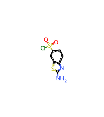 Nc1nc2ccc(S(=O)(=O)Cl)cc2s1